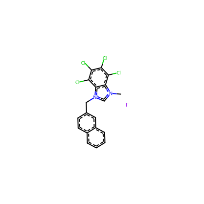 Cn1c[n+](Cc2ccc3ccccc3c2)c2c(Cl)c(Cl)c(Cl)c(Cl)c21.[I-]